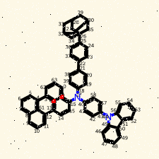 c1ccc(-c2cccc3cccc(-c4ccc(N(c5ccc(-c6ccc(C78CC9CC(CC(C9)C7)C8)cc6)cc5)c5ccc(-n6c7ccccc7c7ccccc76)cc5)cc4)c23)cc1